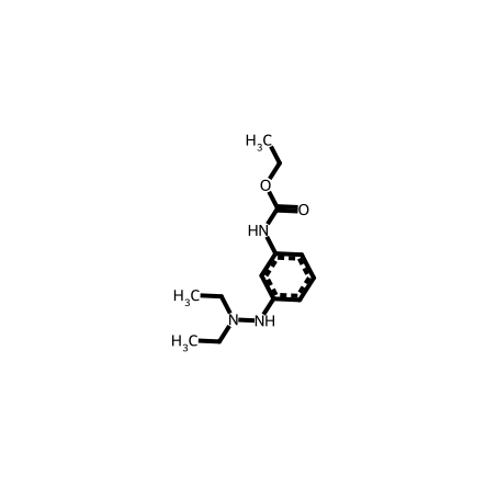 CCOC(=O)Nc1cccc(NN(CC)CC)c1